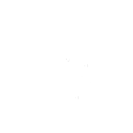 O=C(Cl)c1c(Cl)ccc2c1Nc1ccccc1S2